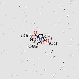 CCCCCCCCOC(=O)C1(C)CCC(C)(C(=O)OCCCCCCCC)N1CCOC